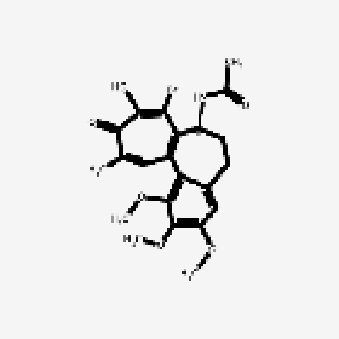 COc1cc2c(c(OC)c1OC)-c1cc(C)c(=O)c(O)c(Br)c1[C@@H](NC(C)=O)CC2